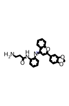 NCCC(=O)Nc1ccccc1/N=c1\cc(-c2ccc3c(c2)OCO3)oc2ccccc12